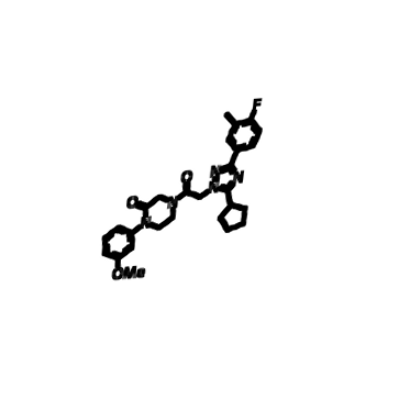 COc1cccc(N2CCN(C(=O)Cn3nc(-c4ccc(F)c(C)c4)nc3C3CCCC3)CC2=O)c1